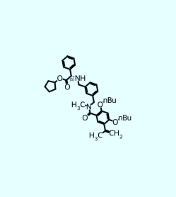 C=C(C)c1cc(C(=O)N(C)Cc2cccc(CN[C@H](C(=O)OC3CCCC3)c3ccccc3)c2)c(OCCCC)cc1OCCCC